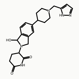 O=C1CCC(N2Cc3cc(C4CCN(Cc5ccn[nH]5)CC4)ccc3C2O)C(=O)N1